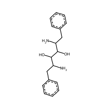 NC(Cc1ccccc1)C(O)C(O)C(N)Cc1ccccc1